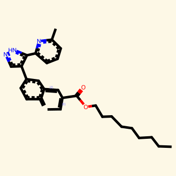 C=c1ccc(-c2cn[nH]c2-c2cccc(C)n2)c/c1=C/C(=C\C)C(=O)OCCCCCCCCC